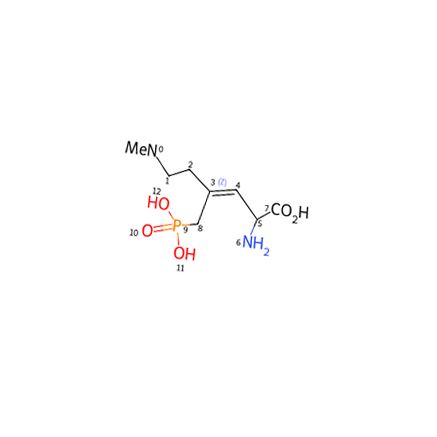 CNCC/C(=C/C(N)C(=O)O)CP(=O)(O)O